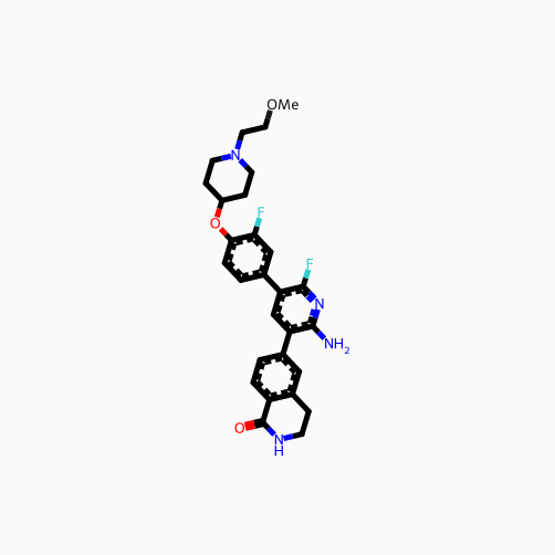 COCCN1CCC(Oc2ccc(-c3cc(-c4ccc5c(c4)CCNC5=O)c(N)nc3F)cc2F)CC1